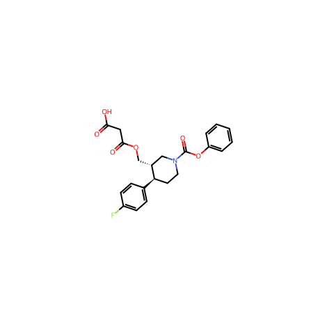 O=C(O)CC(=O)OC[C@@H]1CN(C(=O)Oc2ccccc2)CC[C@H]1c1ccc(F)cc1